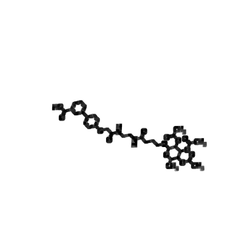 CC(=O)OC1C(C)OC(OCCCC(=O)NCCNC(=O)COc2ccc(-c3cccc(C(=O)O)c3)cc2)C(OC(C)=O)C1OC(C)=O